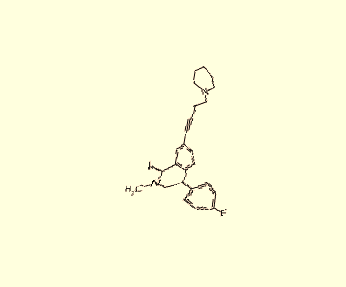 CN1CC(c2ccc(F)cc2)c2ccc(C#CCCN3CCCCC3)cc2C1I